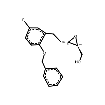 OC[C@@H]1O[C@H]1CCc1cc(F)ccc1OCc1ccccc1